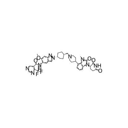 COc1cc2nn([C@H]3CC[C@H](CN4CCC(c5cccc6c5n(C)c(=O)n6C5CCC(=O)NC5=O)CC4)CC3)cc2cc1NC(=O)c1cncnc1C(F)(F)F